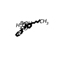 CCCCCCc1cccc(C(C)(O)C(=O)OC2CC[N+]3(CCCC3)C2)c1.[Br-]